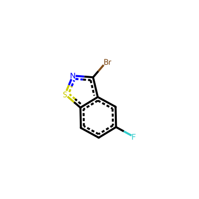 Fc1ccc2snc(Br)c2c1